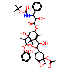 CC(=O)OC12COC1C[C@H](O)[C@@](C)(C(=O)C(O)C1=C(C)C(OC(=O)C(O)C(NC(=O)OC(C)(C)C)c3ccccc3)C[C@@](O)([C@H](C)C(=O)Oc3ccccc3)C1(C)C)C2